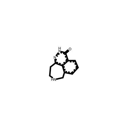 O=c1[nH]nc2c3c(cccc13)CNCC2